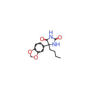 CCCCC1(c2ccc3c(c2)OCO3)NC(=O)NC1=O